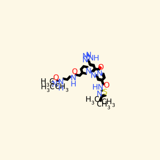 CC(C)(C)c1csc(NC(=O)c2ccn3c(=O)c(/C=C/c4nnn[nH]4)c(N4CCCC(CC(=O)NCCCNC(=O)[N+](C)(C)C)C4)nc3c2)n1